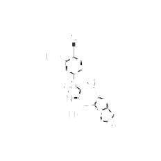 N#Cc1ccc(-n2cc(C(O)c3c(C4CC4)sc4cncn34)nn2)cc1O